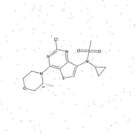 C[C@@H]1COCCN1c1nc(Cl)nc2c(N(C3CC3)S(C)(=O)=O)csc12